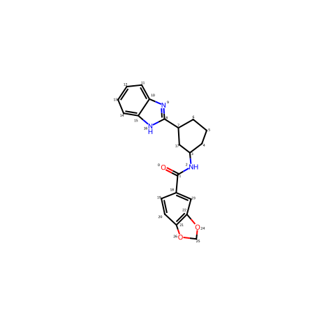 O=C(NC1CCCC(c2nc3ccccc3[nH]2)C1)c1ccc2c(c1)OCO2